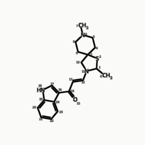 CC1SC2(CCN(C)CC2)CN1/C=C/C(=O)c1c[nH]c2ccccc12